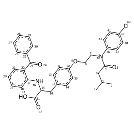 CC(C)CC(=O)N(CCOc1ccc(CC(Nc2ccccc2C(=O)c2ccccc2)C(=O)O)cc1)c1ccc(Cl)cc1